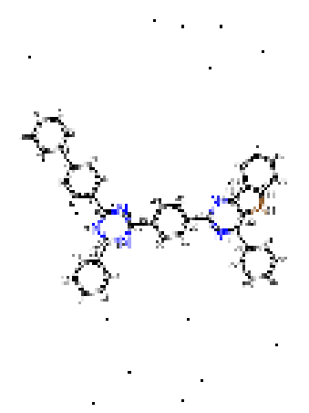 c1ccc(-c2ccc(-c3nc(-c4ccccc4)nc(-c4ccc(-c5nc(-c6ccccc6)c6sc7ccccc7c6n5)cc4)n3)cc2)cc1